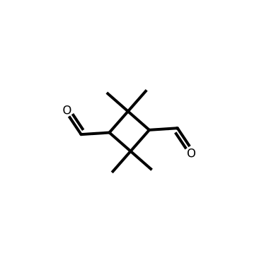 CC1(C)C(C=O)C(C)(C)C1C=O